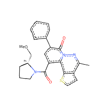 COC[C@H]1CCCN1C(=O)c1cc(-c2ccccc2)c(=O)n2nc(C)c3ccsc3c12